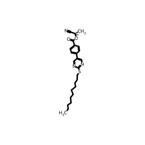 CCCCCCCCCCCSc1ncc(-c2ccc(C(=O)O[C@H](C)C#N)cc2)cn1